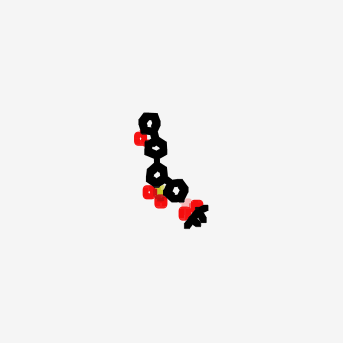 CC1(C)OB(c2ccc3c(c2)S(=O)(=O)c2ccc(-c4ccc5c(c4)oc4ccccc45)cc2-3)OC1(C)C